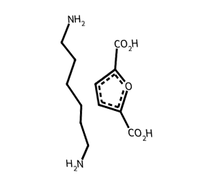 NCCCCCCN.O=C(O)c1ccc(C(=O)O)o1